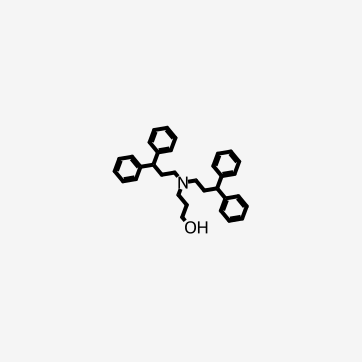 OCCCN(CCC(c1ccccc1)c1ccccc1)CCC(c1ccccc1)c1ccccc1